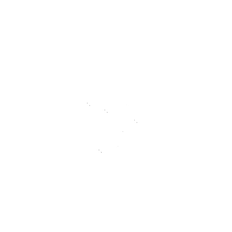 CCc1ccc(-c2cc3n(n2)CC(C)(C(=O)NC2CCCCCC2)N(C2CCCCCC2)C3=O)cc1